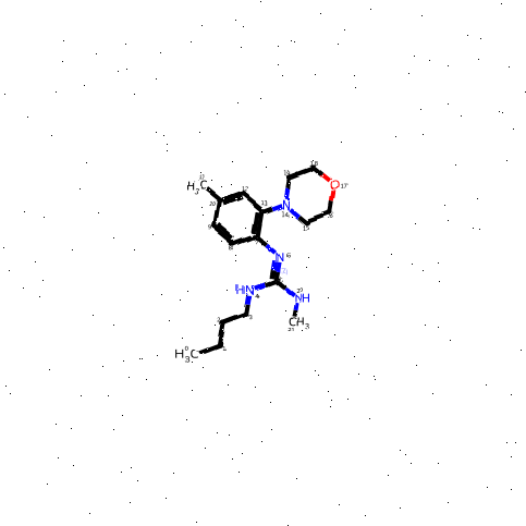 CCCCN/C(=N\c1ccc(C)cc1N1CCOCC1)NC